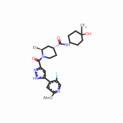 CC[C@H]1C[C@H](C(=O)NC2CCC(O)(C(F)(F)F)CC2)CCN1C(=O)c1cc(-c2cc(OC)ncc2F)[nH]n1